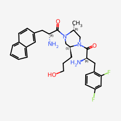 C[C@@H]1CN(C(=O)[C@H](N)Cc2ccc(F)cc2F)[C@@H](CCCO)CN1C(=O)[C@H](N)Cc1ccc2ccccc2c1